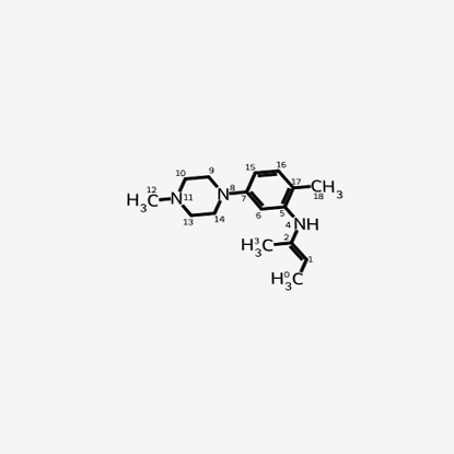 C/C=C(\C)Nc1cc(N2CCN(C)CC2)ccc1C